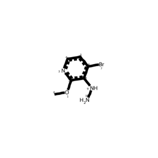 COc1nccc(Br)c1NN